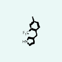 Cc1ccc(Cc2cc[nH]c2)c(C(F)(F)F)c1